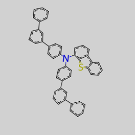 c1ccc(-c2cccc(-c3ccc(N(c4ccc(-c5cccc(-c6ccccc6)c5)cc4)c4cccc5c4sc4ccccc45)cc3)c2)cc1